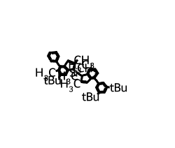 CC1=Cc2c(cc(C(C)(C)C)c(C)c2-c2ccccc2)C1[Si](C)(C)C1C(C)=Cc2c(-c3cc(C(C)(C)C)cc(C(C)(C)C)c3)ccc(C)c21